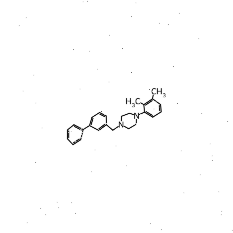 Cc1cccc(N2CCN(Cc3cccc(-c4ccccc4)c3)CC2)c1C